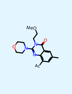 COCCn1c(N2CCOCC2)nc2c(C(C)=O)cc(C)cc2c1=O